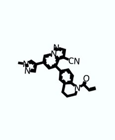 C=CC(=O)N1CCCc2cc(-c3cc(-c4cnn(C)c4)cn4ncc(C#N)c34)ccc21